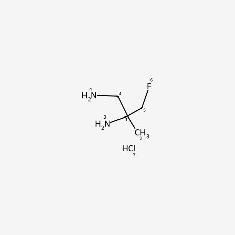 CC(N)(CN)CF.Cl